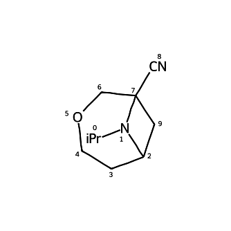 CC(C)N1C2CCOCC1(C#N)C2